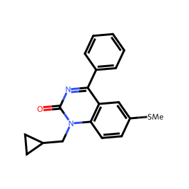 CSc1ccc2c(c1)c(-c1ccccc1)nc(=O)n2CC1CC1